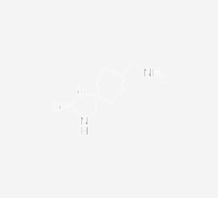 NCC1CCC2(CC1)CNC(=O)O2